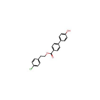 O=C(OCCc1ccc(Cl)cc1)c1ccc(-c2ccc(O)cc2)cc1